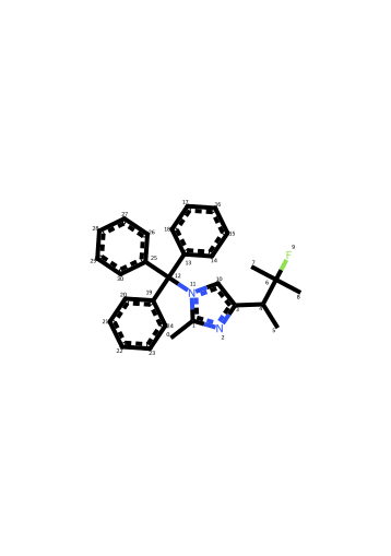 Cc1nc(C(C)C(C)(C)F)cn1C(c1ccccc1)(c1ccccc1)c1ccccc1